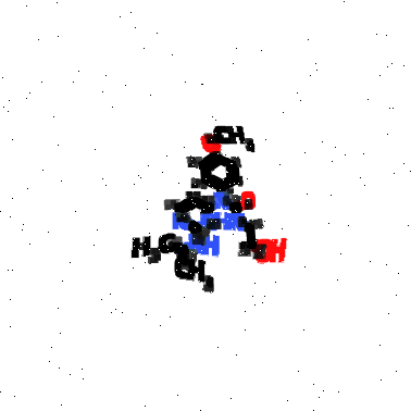 COc1ccc(N(C(=O)NCCO)c2ccnc(NC(C)C)n2)cc1